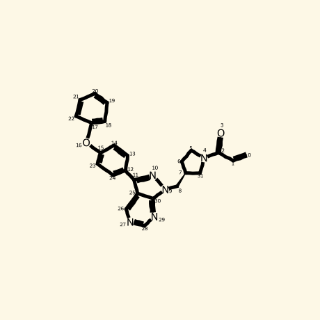 C=CC(=O)N1CC[C@H](Cn2nc(-c3ccc(Oc4ccccc4)cc3)c3cncnc32)C1